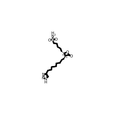 NS(=O)(=O)CCCCC[C@@H]1OC(=O)[C@H]1CCCCCCCCc1c[nH]nn1